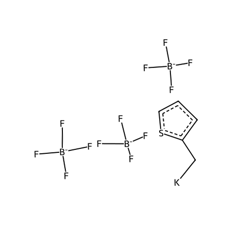 F[B-](F)(F)F.F[B-](F)(F)F.F[B-](F)(F)F.[K][CH2]c1cccs1